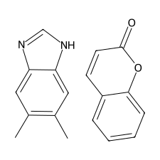 Cc1cc2nc[nH]c2cc1C.O=c1ccc2ccccc2o1